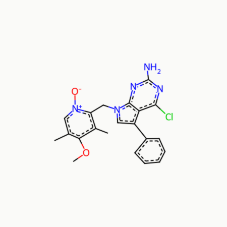 COc1c(C)c[n+]([O-])c(Cn2cc(-c3ccccc3)c3c(Cl)nc(N)nc32)c1C